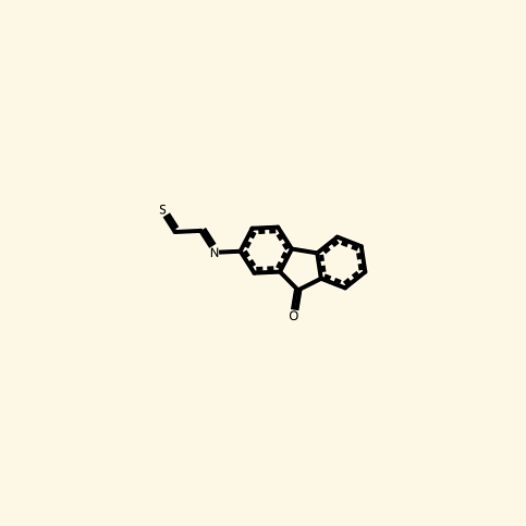 O=C1c2ccccc2-c2ccc(N=CC=S)cc21